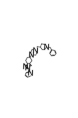 c1ccc(CN2CCC(CN3CCN(C4CCc5nn(-c6ccccn6)cc5C4)CC3)CC2)cc1